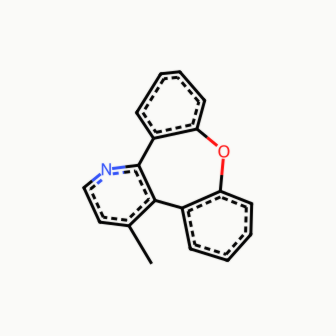 Cc1ccnc2c1-c1ccccc1Oc1ccccc1-2